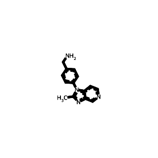 Cc1nc2cnccc2n1-c1ccc(CN)cc1